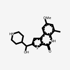 COc1cc(C)c2[nH]c(=O)c3sc(C(O)C4CCNCC4)cc3c2c1